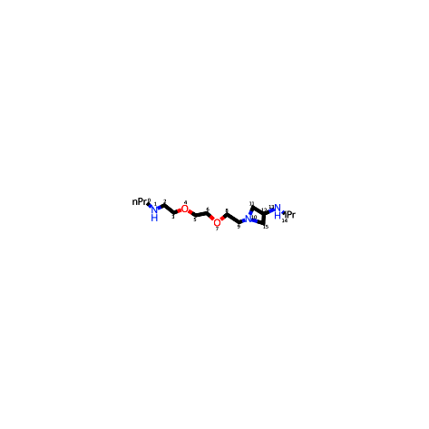 CCCNCCOCCOCCN1CC(NC(C)C)C1